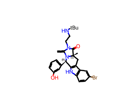 C=C1N(CCNC(C)(C)C)C(=O)[C@]2(C)Cc3c([nH]c4ccc(Br)cc34)[C@@H](c3cccc(O)c3)N12